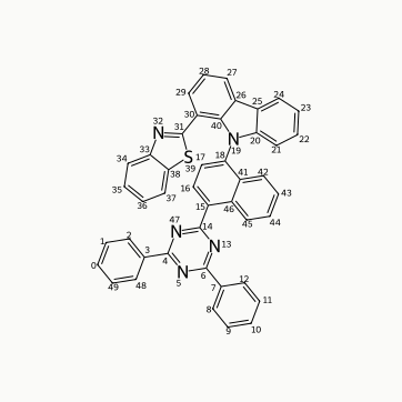 c1ccc(-c2nc(-c3ccccc3)nc(-c3ccc(-n4c5ccccc5c5cccc(-c6nc7ccccc7s6)c54)c4ccccc34)n2)cc1